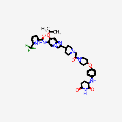 CC(C)Oc1cc2nc(C3CCN(CC(=O)N4CCC(Oc5ccc(NC6CCC(=O)NC6=O)cc5)CC4)CC3)cn2cc1NC(=O)c1cccc(C(F)(F)F)n1